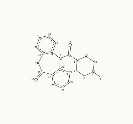 CN1CCN(C(=O)N2c3ccccc3CC(=O)c3ccccc32)CC1